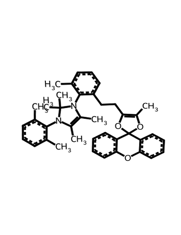 CC1=C(CCc2cccc(C)c2N2C(C)=C(C)N(c3c(C)cccc3C)C2(C)C)OC2(O1)c1ccccc1Oc1ccccc12